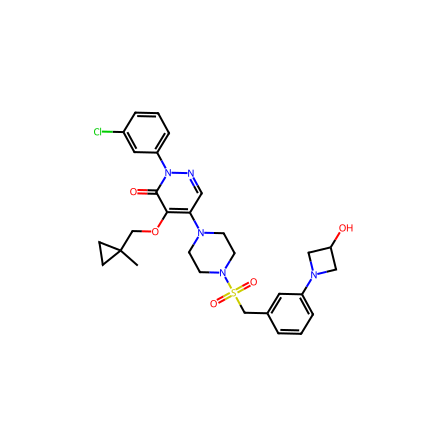 CC1(COc2c(N3CCN(S(=O)(=O)Cc4cccc(N5CC(O)C5)c4)CC3)cnn(-c3cccc(Cl)c3)c2=O)CC1